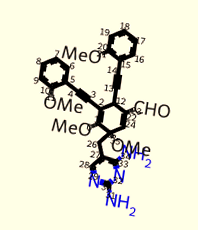 COC1=C(C#Cc2ccccc2OC)C(C#Cc2ccccc2OC)C(C=O)=CC1(Cc1cnc(N)nc1N)OC